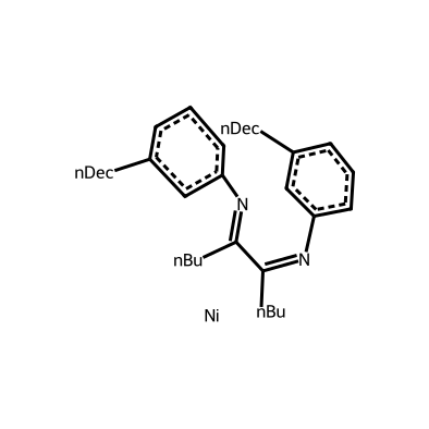 CCCCCCCCCCc1cccc(N=C(CCCC)C(CCCC)=Nc2cccc(CCCCCCCCCC)c2)c1.[Ni]